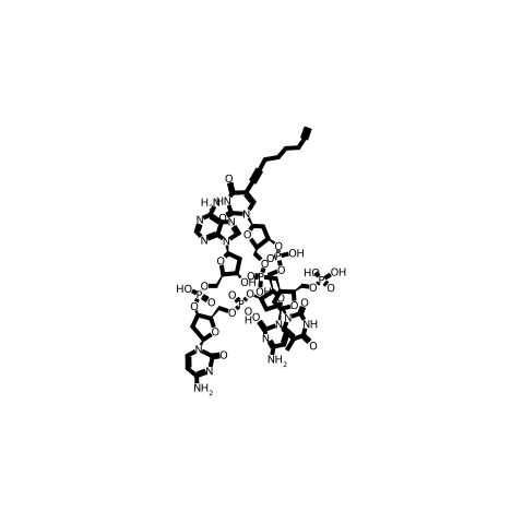 C#CCCCCC#Cc1cn([C@H]2C[C@@H](OP(=O)(O)OC[C@H]3O[C@@H](n4cc(C)c(=O)[nH]c4=O)C[C@H]3OP(=O)(O)OC[C@H]3O[C@@H](n4ccc(N)nc4=O)C[C@H]3OP(=O)(O)OC[C@H]3O[C@@H](n4cnc5c(N)ncnc54)C[C@H]3O)[C@@H](COP(=O)(O)C[C@@H]3C[C@H](n4ccc(N)nc4=O)O[C@@H]3COP(=O)(O)O)O2)c(=O)[nH]c1=O